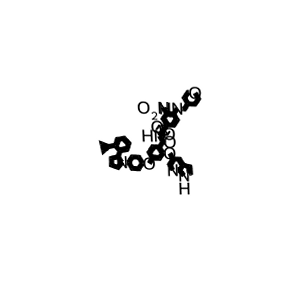 O=C(NS(=O)(=O)c1ccc(NCC2CCOCC2)c([N+](=O)[O-])c1)c1ccc(OC2CCC(N3CCCC3c3ccccc3C3CC3)CC2)cc1Oc1cnc2[nH]ccc2c1